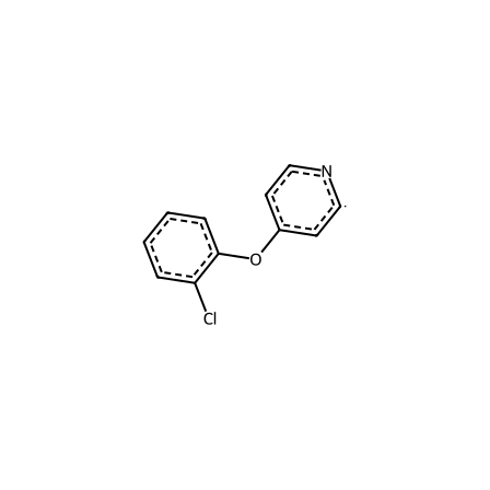 Clc1ccccc1Oc1c[c]ncc1